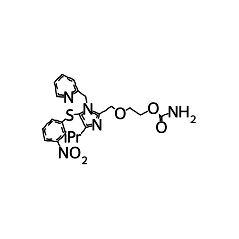 CC(C)c1nc(COCCOC(N)=O)n(Cc2ccccn2)c1Sc1cccc([N+](=O)[O-])c1